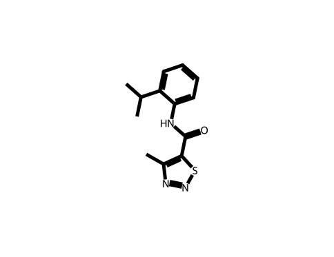 Cc1nnsc1C(=O)Nc1ccccc1C(C)C